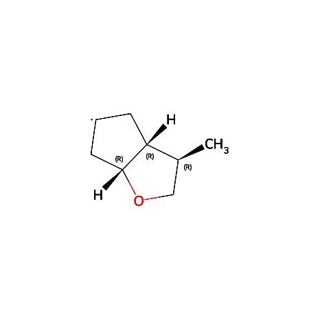 C[C@H]1CO[C@@H]2C[CH]C[C@H]12